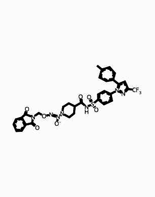 Cc1ccc(-c2cc(C(F)(F)F)nn2-c2ccc(S(=O)(=O)NC(=O)C3CCN([N+]([O-])=NOCN4C(=O)c5ccccc5C4=O)CC3)cc2)cc1